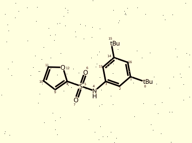 CC(C)(C)c1cc(NS(=O)(=O)c2ccco2)cc(C(C)(C)C)c1